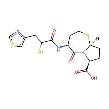 O=C(N[C@H]1CCS[C@H]2CC[C@@H](C(=O)O)N2C1=O)C(S)Cc1cscn1